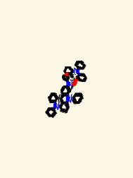 c1ccc(N2c3ccccc3[Si]3(c4ccccc42)c2ccccc2N(c2ccc4c(c2)N(c2ccccc2)c2cccc5c2B4c2ccccc2N5c2ccccc2)c2ccccc23)cc1